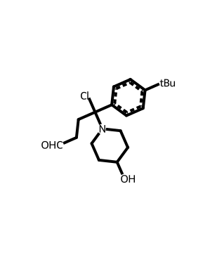 CC(C)(C)c1ccc(C(Cl)(CCC=O)N2CCC(O)CC2)cc1